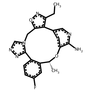 CCc1noc2c1-c1cnc(N)c(c1)O[C@H](C)c1cc(F)ccc1-c1nncn1C2